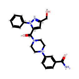 NC(=O)c1cccc(N2CCN(C(=O)c3cc(CO)nn3-c3ccccc3)CC2)c1